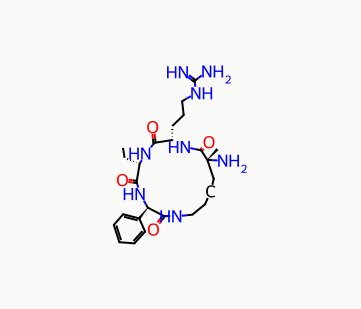 CC[C@@H]1NC(=O)[C@H](CCCNC(=N)N)NC(=O)[C@](C)(N)CCCCNC(=O)[C@@H](c2ccccc2)NC1=O